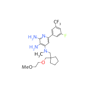 COCCOCC1(CN(C)c2cc(-c3cc(F)cc(C(F)(F)F)c3)nc(N)c2N)CCCC1